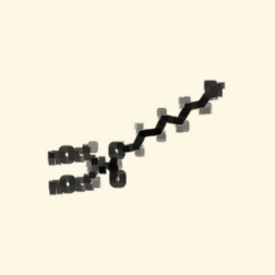 CCCCCCCCN(CCCCCCCC)C(=O)OCCCCCCCBr